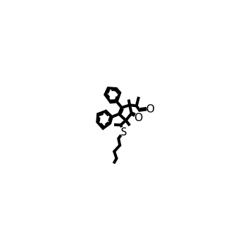 CCCCCSC(C)C1(C)C(=O)C(C)(C(C)C=O)C(c2ccccc2)=C1c1ccccc1